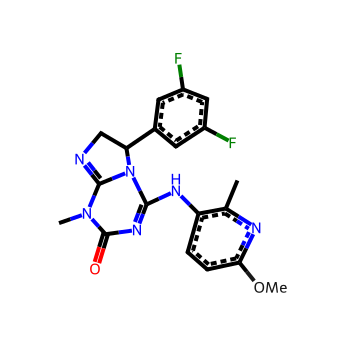 COc1ccc(NC2=NC(=O)N(C)C3=NCC(c4cc(F)cc(F)c4)N23)c(C)n1